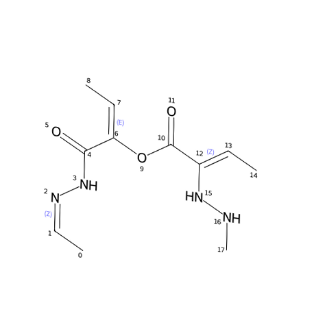 C/C=N\NC(=O)/C(=C\C)OC(=O)/C(=C/C)NNC